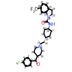 O=C(c1ccc(F)cc1)C1CCN(CC[C@H]2CC[C@H](NC(=O)N3CCc4ccc(C(F)(F)F)cc43)CC2)CC1